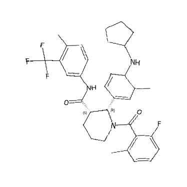 Cc1ccc(NC(=O)[C@H]2CCCN(C(=O)c3c(C)cccc3F)[C@H]2C2=CC(C)C(NC3CCCC3)C=C2)cc1C(F)(F)F